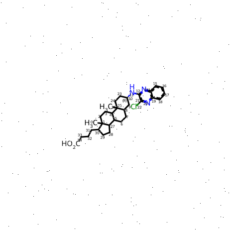 CC12CCC3C(CCC4C[C@H](Nc5nc6ccccc6nc5Cl)CCC43C)C1CCC2CCCC(=O)O